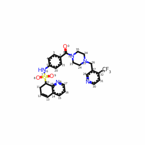 O=C(c1ccc(NS(=O)(=O)C2CC=Cc3cccnc32)cc1)N1CCN(Cc2cnccc2C(F)(F)F)CC1